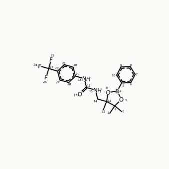 CC1(C)OB(c2ccccc2)OC1(C)CNC(=O)Nc1ccc(C(F)(F)F)cc1